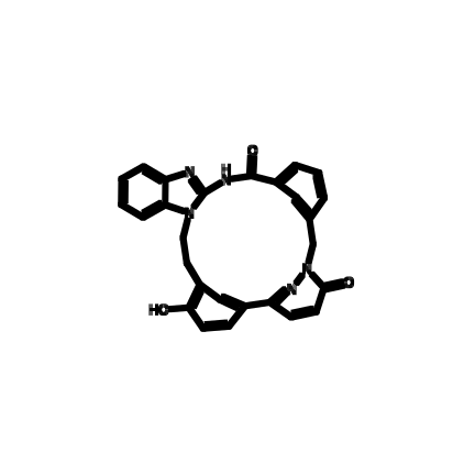 O=C1Nc2nc3ccccc3n2CCc2cc(ccc2O)-c2ccc(=O)n(n2)Cc2cccc1c2